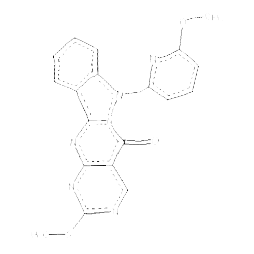 COc1cccc(-n2c3ccccc3c3nc4nc(SC)ncc4c(=O)n32)n1